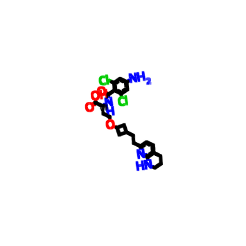 Nc1cc(Cl)c(C(=O)N[C@@H](CCOC2CC(CCc3ccc4c(n3)NCCC4)C2)C(=O)O)c(Cl)c1